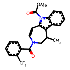 COC(=O)n1c2c(c3ccccc31)C(C)CN(C(=O)c1ccccc1C(F)(F)F)C=C2